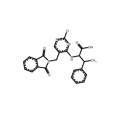 CC(c1ccccc1)C(Nc1nc(Cl)ncc1CN1C(=O)c2ccccc2C1=O)C(=O)O